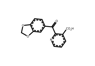 O=C(O)c1cccnc1C(=O)c1ccc2c(c1)OCO2